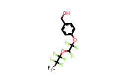 OCc1ccc(OC(F)(F)C(F)OC(F)(F)C(F)(F)C(F)(F)F)cc1